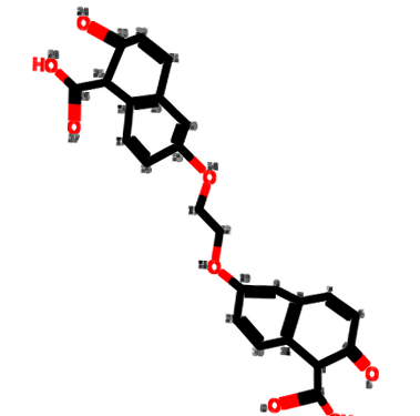 O=C(O)C1C(=O)C=Cc2cc(OCCOc3ccc4c(c3)C=CC(=O)C4C(=O)O)ccc21